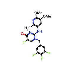 COc1cc(Nc2nc(=O)c(F)cn2Cc2cc(F)c(F)c(F)c2)c(C)nc1OC